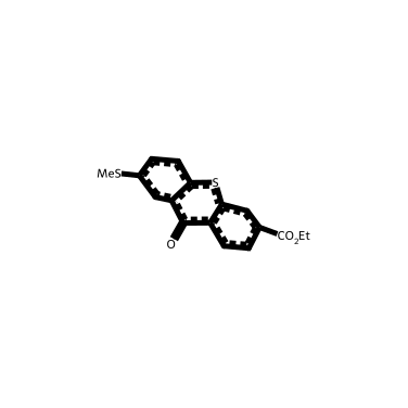 CCOC(=O)c1ccc2c(=O)c3cc(SC)ccc3sc2c1